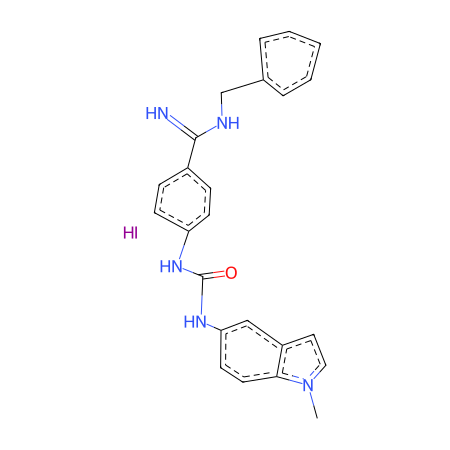 Cn1ccc2cc(NC(=O)Nc3ccc(C(=N)NCc4ccccc4)cc3)ccc21.I